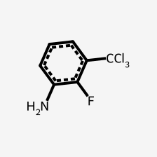 Nc1cccc(C(Cl)(Cl)Cl)c1F